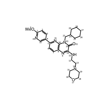 COc1ccc(-c2ccc3nc(NCCN4CCOCC4)c(=O)n(CC4CCCCC4)c3n2)cn1